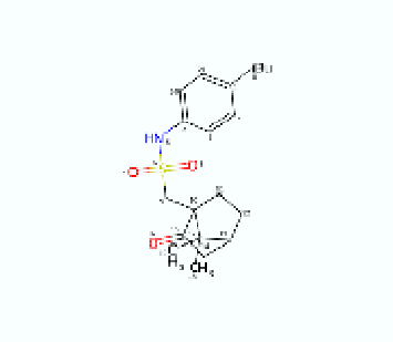 CCC(C)c1ccc(NS(=O)(=O)CC23CCC(CC2=O)C3(C)C)cc1